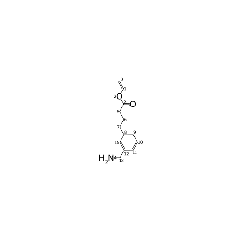 C=COC(=O)CCCc1cccc(CN)c1